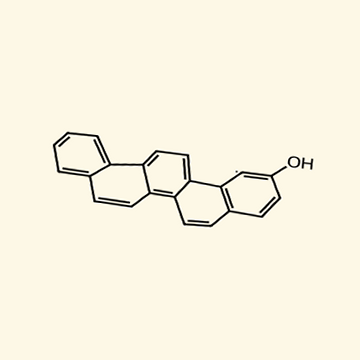 Oc1[c]c2c(cc1)ccc1c2ccc2c3ccccc3ccc21